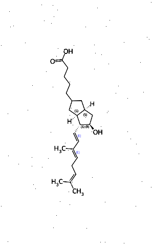 CC(C)=CC/C=C(C)/C=C/[C@@H]1[C@H]2CC(CCCCC(=O)O)C[C@H]2C[C@H]1O